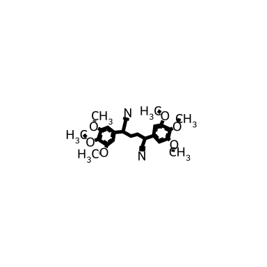 COc1cc(C(C#N)CCC(C#N)c2cc(OC)c(OC)c(OC)c2)cc(OC)c1OC